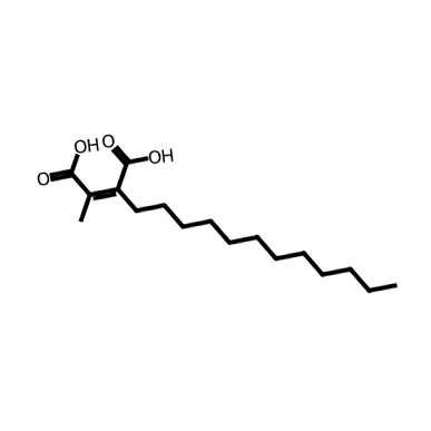 CCCCCCCCCCCC/C(C(=O)O)=C(\C)C(=O)O